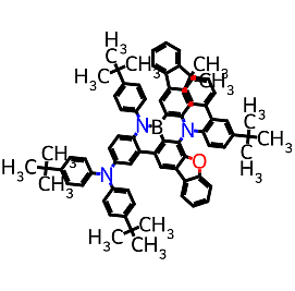 CC(C)(C)c1ccc(N2B3c4cc5c(cc4N(c4ccc(C(C)(C)C)cc4-c4ccccc4)c4c3c(cc3c4oc4ccccc43)-c3cc(N(c4ccc(C(C)(C)C)cc4)c4ccc(C(C)(C)C)cc4)ccc32)C(C)(C)c2ccccc2-5)cc1